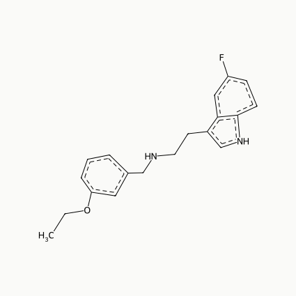 CCOc1cccc(CNCCc2c[nH]c3ccc(F)cc23)c1